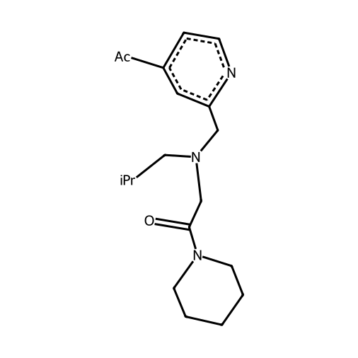 CC(=O)c1ccnc(CN(CC(=O)N2CCCCC2)CC(C)C)c1